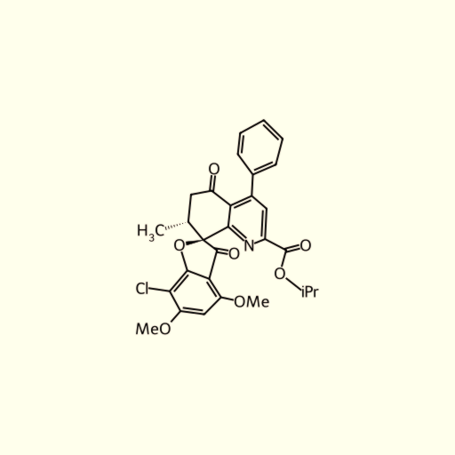 COc1cc(OC)c2c(c1Cl)O[C@]1(C2=O)c2nc(C(=O)OC(C)C)cc(-c3ccccc3)c2C(=O)C[C@H]1C